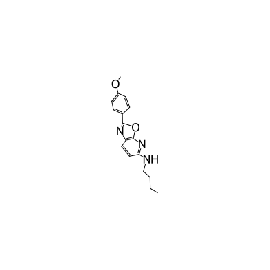 CCCCNc1ccc2nc(-c3ccc(OC)cc3)oc2n1